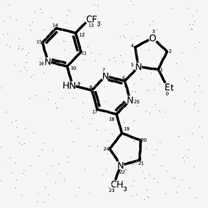 CCC1COCN1c1nc(Nc2cc(C(F)(F)F)ccn2)cc(C2CCN(C)C2)n1